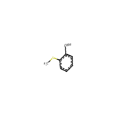 COc1c[c]ccc1SC(F)(F)F